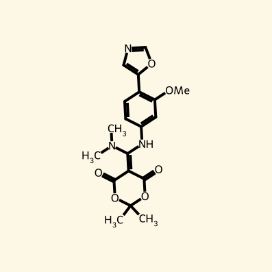 COc1cc(NC(=C2C(=O)OC(C)(C)OC2=O)N(C)C)ccc1-c1cnco1